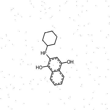 Oc1cc(PC2CCCCC2)c(O)c2ccccc12